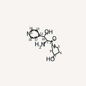 N[C@H](C(=O)N1CC[C@@H](O)C1)[C@H](O)c1ccncc1